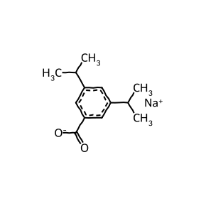 CC(C)c1cc(C(=O)[O-])cc(C(C)C)c1.[Na+]